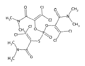 CN(C)C(=O)C(OP(=O)(OC(C(=O)N(C)C)=C(Cl)Cl)SC(C(=O)N(C)C)=C(Cl)Cl)=C(Cl)Cl